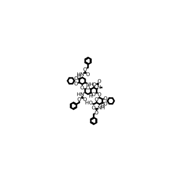 CN1C(=O)OC2C3O[C@H](O[C@@H]4C(N)C[C@@H](NC(=O)OCc5ccccc5)[C@H]5OC6(CCCCC6)OC45)[C@@H](NC(=O)OCc4ccccc4)C[C@@H]3OC(O[C@H]3OC(CO)[C@@H](NC(=O)OCc4ccccc4)[C@@H]4OC5(CCCCC5)OC34)C21